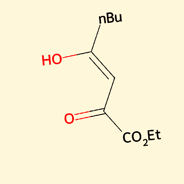 CCCC/C(O)=C/C(=O)C(=O)OCC